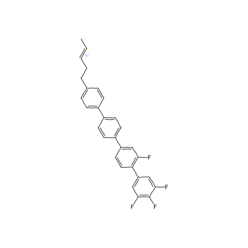 C/C=C/CCc1ccc(-c2ccc(-c3ccc(-c4cc(F)c(F)c(F)c4)c(F)c3)cc2)cc1